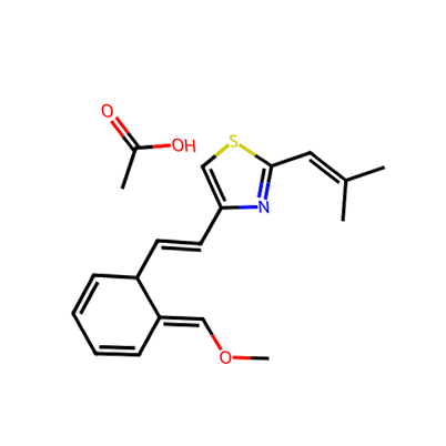 CC(=O)O.COC=C1C=CC=CC1C=Cc1csc(C=C(C)C)n1